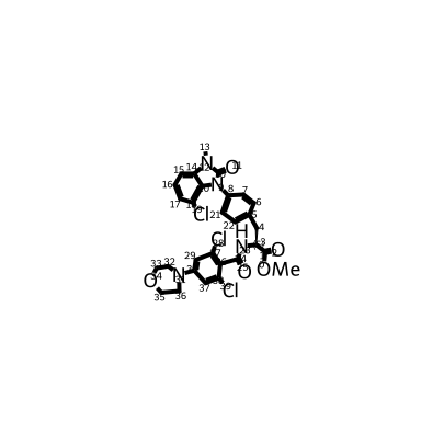 COC(=O)[C@H](Cc1ccc(-n2c(=O)n(C)c3cccc(Cl)c32)cc1)NC(=O)c1c(Cl)cc(N2CCOCC2)cc1Cl